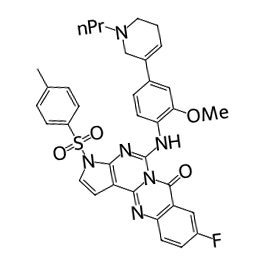 CCCN1CCC=C(c2ccc(Nc3nc4c(ccn4S(=O)(=O)c4ccc(C)cc4)c4nc5ccc(F)cc5c(=O)n34)c(OC)c2)C1